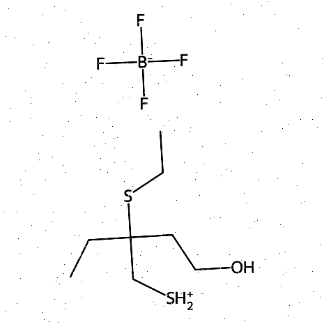 CCSC(CC)(C[SH2+])CCO.F[B-](F)(F)F